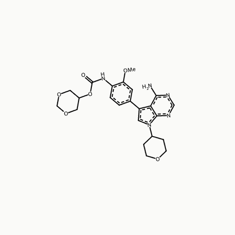 COc1cc(-c2cn(C3CCOCC3)c3ncnc(N)c23)ccc1NC(=O)OC1COCOC1